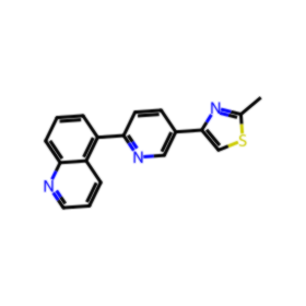 Cc1nc(-c2ccc(-c3cccc4ncccc34)nc2)cs1